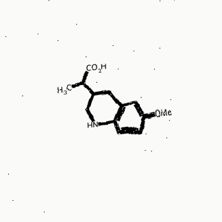 COc1ccc2c(c1)CC(C(C)C(=O)O)CN2